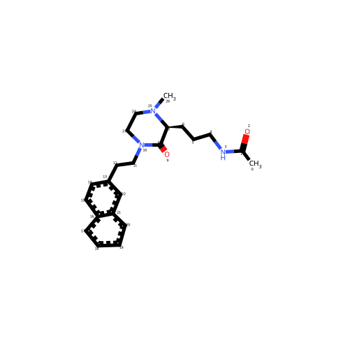 CC(=O)NCCC[C@H]1C(=O)N(CCc2ccc3ccccc3c2)CCN1C